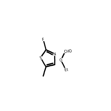 CCOC=O.Cc1cnc(F)s1